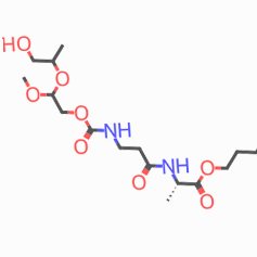 CCCCOC(=O)[C@H](C)NC(=O)CCNC(=O)OCC(OC)OC(C)CO